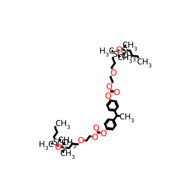 CCCC[Si](C)(C)O[Si](C)(C)CCCOCCOC(=O)Oc1ccc(C(C)c2ccc(OC(=O)OCCOCCC[Si](C)(C)O[Si](C)(C)CCCC)cc2)cc1